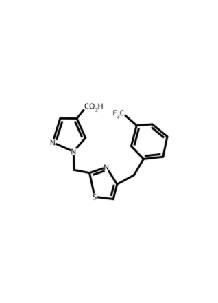 O=C(O)c1cnn(Cc2nc(Cc3cccc(C(F)(F)F)c3)cs2)c1